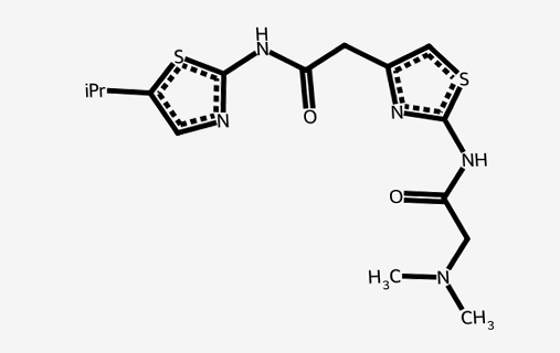 CC(C)c1cnc(NC(=O)Cc2csc(NC(=O)CN(C)C)n2)s1